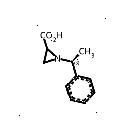 C[C@@H](c1ccccc1)N1CC1C(=O)O